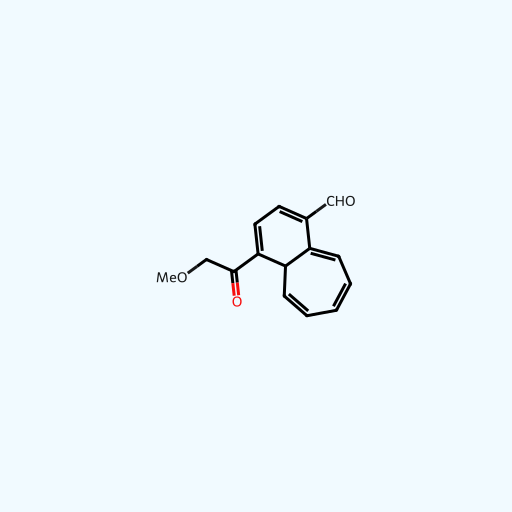 COCC(=O)C1=CC=C(C=O)C2=CC=CC=CC12